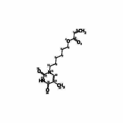 C=CC(=O)OCCCCCCn1cc(C)c(=O)[nH]c1=O